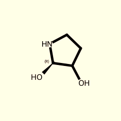 OC1CCN[C@@H]1O